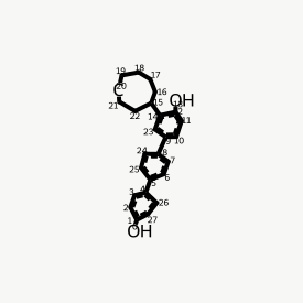 Oc1ccc(-c2ccc(-c3ccc(O)c(C4CCCCCCC4)c3)cc2)cc1